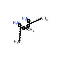 CCCCCCCCCCCC(c1ccc(N)cc1)c1ccc(C(CC)c2ccc(C(CCCCCCCCCCC)c3ccc(N)cc3)cc2)cc1